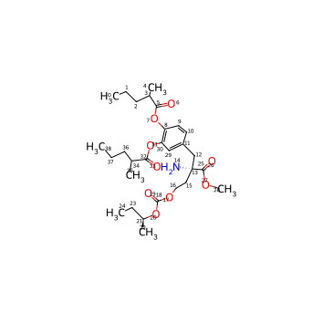 CCCC(C)C(=O)Oc1ccc(C[C@](N)(CCOC(=O)O[C@@H](C)CC)C(=O)OC)cc1OC(=O)C(C)CCC